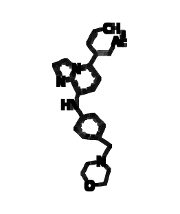 C/C=C\C(=C/C(C)=O)c1ccc(Nc2ccc(CN3CCOCC3)cc2)c2nccn12